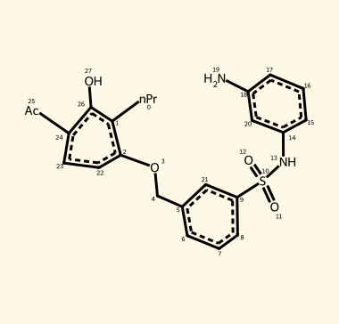 CCCc1c(OCc2cccc(S(=O)(=O)Nc3cccc(N)c3)c2)ccc(C(C)=O)c1O